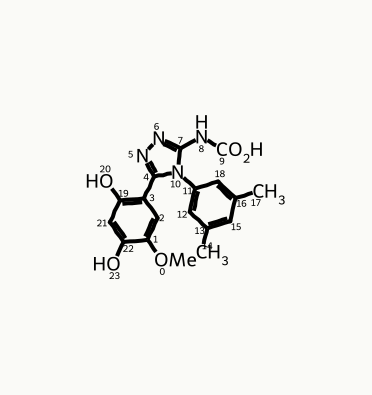 COc1cc(-c2nnc(NC(=O)O)n2-c2cc(C)cc(C)c2)c(O)cc1O